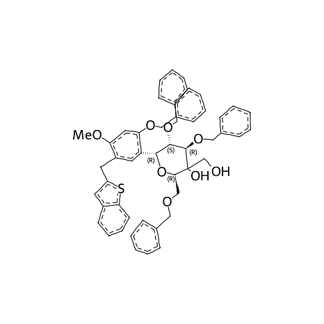 COc1cc(OCc2ccccc2)c([C@H]2O[C@H](COCc3ccccc3)C(O)(CO)[C@H](OCc3ccccc3)[C@H]2OCc2ccccc2)cc1Cc1cc2ccccc2s1